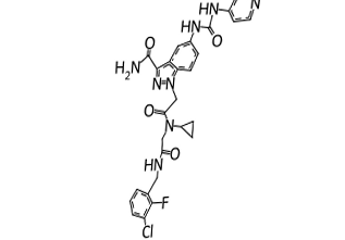 NC(=O)c1nn(CC(=O)N(CC(=O)NCc2cccc(Cl)c2F)C2CC2)c2ccc(NC(=O)Nc3ccncc3)cc12